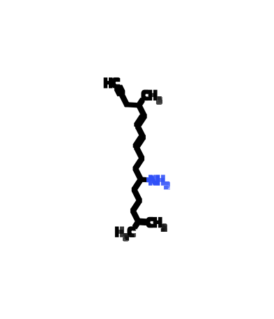 C#CCC(C)/C=C/C=C/CCC(N)CCCC(=C)C